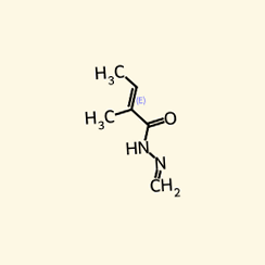 C=NNC(=O)/C(C)=C/C